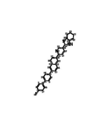 Fc1ccc(-c2ccc(-c3ccc4cc(-c5ccc(C6NC7=CCCC=C7S6)cn5)ccc4c3)cc2)cc1